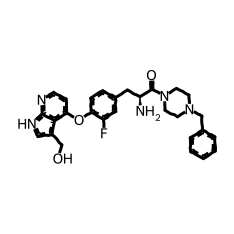 N[C@@H](Cc1ccc(Oc2ccnc3[nH]cc(CO)c23)c(F)c1)C(=O)N1CCN(Cc2ccccc2)CC1